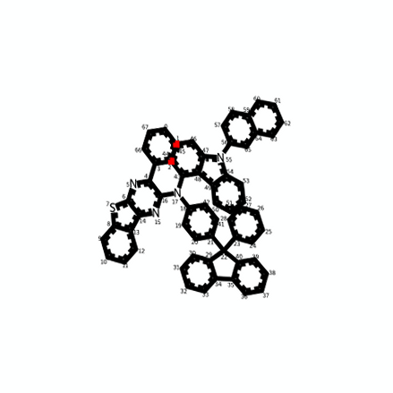 c1ccc(-c2nc3sc4ccccc4c3nc2N(c2ccc(C3(c4ccccc4)c4ccccc4-c4ccccc43)cc2)c2cccc3c2c2ccccc2n3-c2ccc3ccccc3c2)cc1